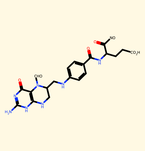 Nc1nc(=O)c2c([nH]1)NCC(CNc1ccc(C(=O)NC(CCC(=O)O)C(=O)N=O)cc1)N2C=O